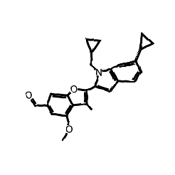 COc1cc(C=O)cc2oc(-c3cc4ccc(C5CC5)cc4n3CC3CC3)c(C)c12